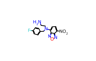 NCCN(Cc1ccc(F)cc1)c1ccc([N+](=O)[O-])c2nonc12